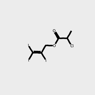 CC(Cl)C(=O)OCC(I)=C(I)I